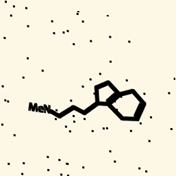 CNCCCC1CCC2=C1CC=CC2